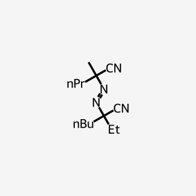 CCCCC(C#N)(CC)/N=N/C(C)(C#N)CCC